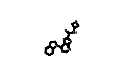 O=C(NC1COC1)c1nc2c(N3CCC4=CCCC=C43)ncnc2s1